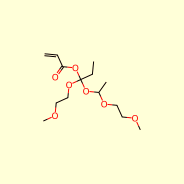 C=CC(=O)OC(CC)(OCCOC)OC(C)OCCOC